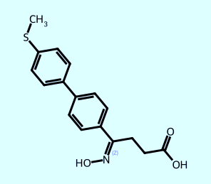 CSc1ccc(-c2ccc(/C(CCC(=O)O)=N\O)cc2)cc1